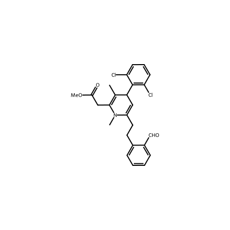 COC(=O)CC1=C(C)C(c2c(Cl)cccc2Cl)C=C(CCc2ccccc2C=O)N1C